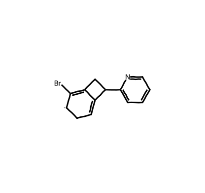 BrC1=C2CC(c3ccccn3)C2=CC[CH]1